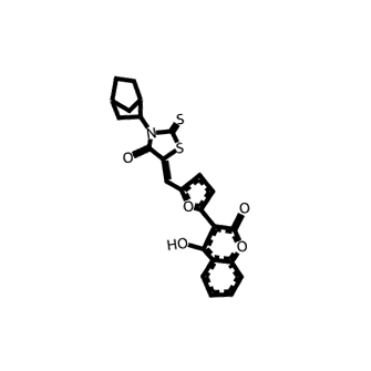 O=C1/C(=C/c2ccc(-c3c(O)c4ccccc4oc3=O)o2)SC(=S)N1C1CC2CCC1C2